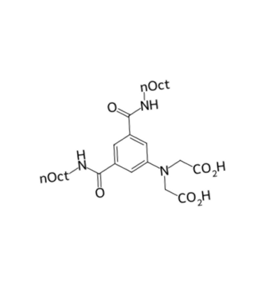 CCCCCCCCNC(=O)c1cc(C(=O)NCCCCCCCC)cc(N(CC(=O)O)CC(=O)O)c1